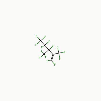 FC(F)=C(C(F)(F)F)C(F)(C(F)(F)F)C(F)(F)C(F)(F)F